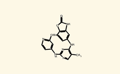 COc1cc(Nc2ncc(C)c(Nc3ccc4oc(=O)[nH]c4c3)n2)ccn1